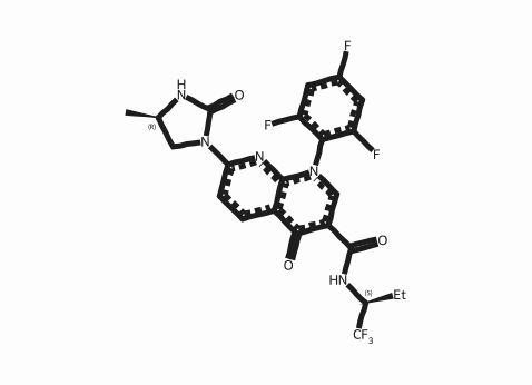 CC[C@H](NC(=O)c1cn(-c2c(F)cc(F)cc2F)c2nc(N3C[C@@H](C)NC3=O)ccc2c1=O)C(F)(F)F